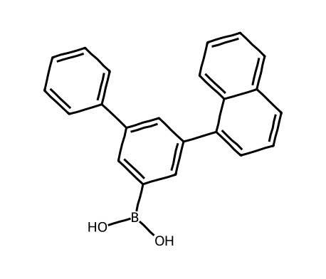 OB(O)c1cc(-c2ccccc2)cc(-c2cccc3ccccc23)c1